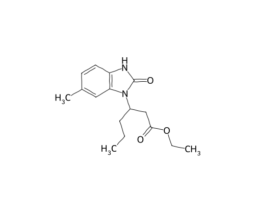 CCCC(CC(=O)OCC)n1c(=O)[nH]c2ccc(C)cc21